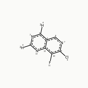 [2H]c1nc([2H])c2cnc(Cl)c(F)c2n1